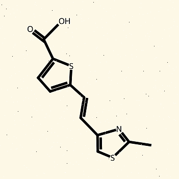 Cc1nc(C=Cc2ccc(C(=O)O)s2)cs1